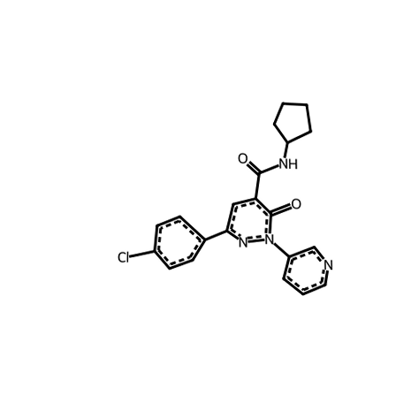 O=C(NC1CCCC1)c1cc(-c2ccc(Cl)cc2)nn(-c2cccnc2)c1=O